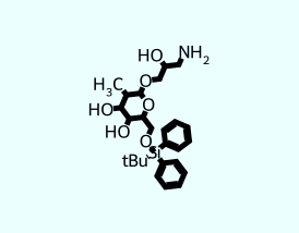 CC1C(OCC(O)CN)OC(CO[Si](c2ccccc2)(c2ccccc2)C(C)(C)C)C(O)C1O